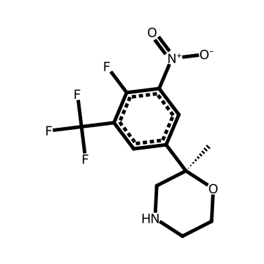 C[C@@]1(c2cc([N+](=O)[O-])c(F)c(C(F)(F)F)c2)CNCCO1